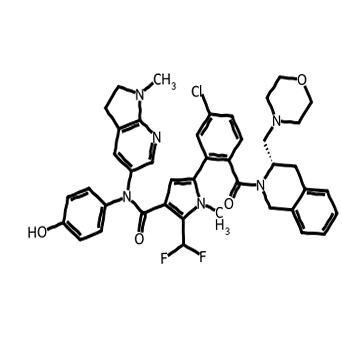 CN1CCc2cc(N(C(=O)c3cc(-c4cc(Cl)ccc4C(=O)N4Cc5ccccc5C[C@H]4CN4CCOCC4)n(C)c3C(F)F)c3ccc(O)cc3)cnc21